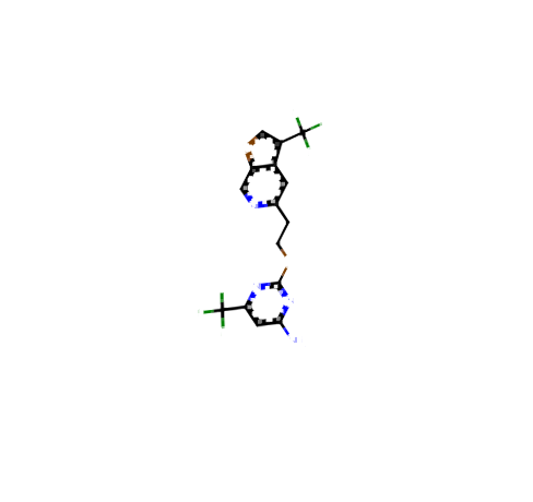 Nc1cc(C(F)(F)F)nc(SCCc2cc3c(C(F)(F)F)csc3cn2)n1